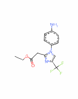 CCOC(=O)Cc1nc(C(F)(F)F)cn1-c1ccc(N)cc1